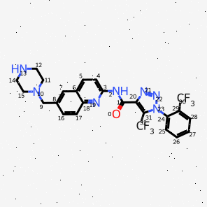 O=C(Nc1ccc2cc(CN3CCNCC3)ccc2n1)c1nnn(-c2ccccc2C(F)(F)F)c1C(F)(F)F